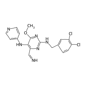 COc1nc(NCc2ccc(Cl)c(Cl)c2)nc(C=N)c1Nc1ccncc1